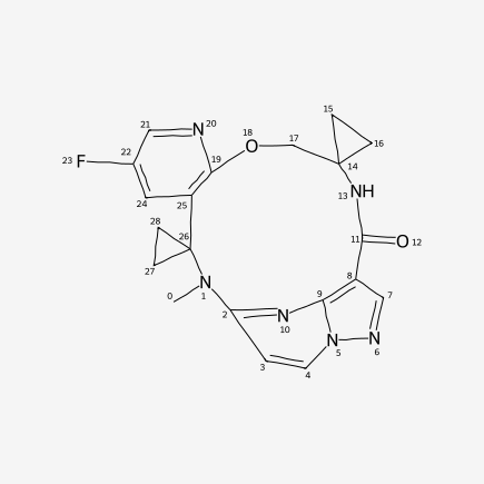 CN1c2ccn3ncc(c3n2)C(=O)NC2(CC2)COc2ncc(F)cc2C12CC2